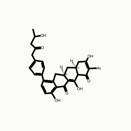 CC(=O)C1=C(O)C[C@@H]2C[C@@H]3Cc4c(-c5ccc(CC(=O)CC(C)O)cc5)ccc(O)c4C(=O)C3=C(O)C2C1=O